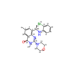 Cc1cc([C@@H](C)Nc2ccccc2Br)c2nc(N3CCOCC3)n(C)c(=O)c2c1